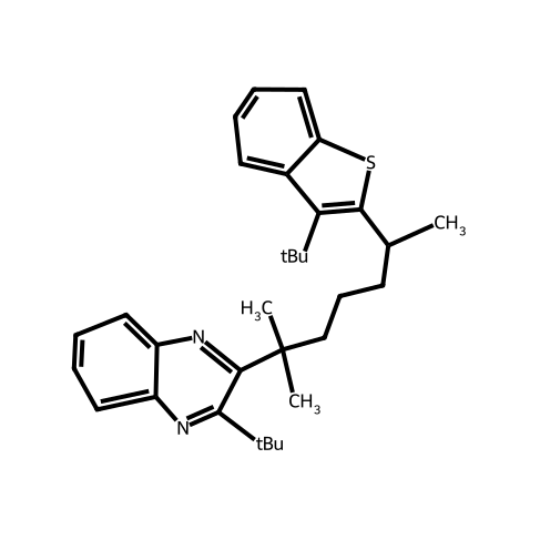 CC(CCCC(C)(C)c1nc2ccccc2nc1C(C)(C)C)c1sc2ccccc2c1C(C)(C)C